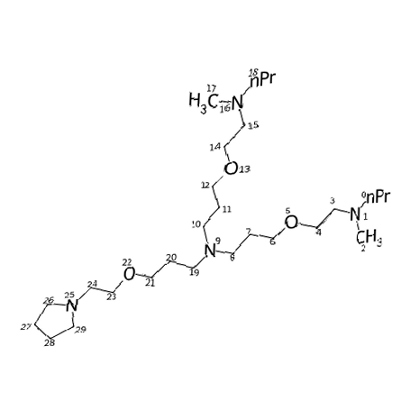 CCCN(C)CCOCCCN(CCCOCCN(C)CCC)CCCOCCN1CCCC1